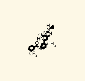 Cc1ccc(NC(=O)c2cccc(C(F)(F)F)c2)cc1-c1cc2cnc(NC3CC3)nc2c(=O)[nH]1